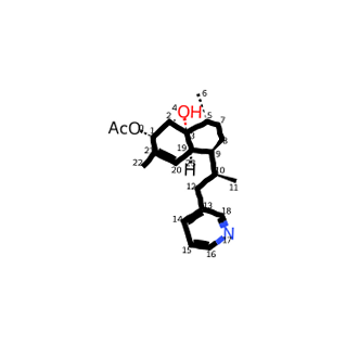 CC(=O)O[C@@H]1[C][C@@]2(O)[C@H](C)CC[C@@H]([C@@H](C)Cc3cccnc3)[C@H]2C=C1C